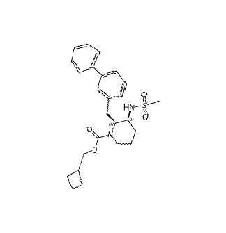 CS(=O)(=O)N[C@H]1CCCN(C(=O)OCC2CCC2)[C@H]1Cc1cccc(-c2ccccc2)c1